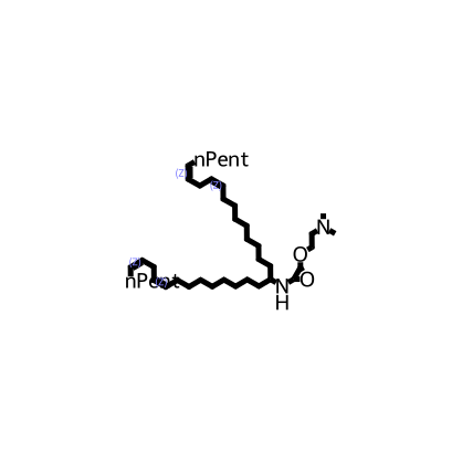 CCCCC/C=C\C/C=C\CCCCCCCCC(CCCCCCCC/C=C\C/C=C\CCCCC)NC1OC1OCCN(C)C